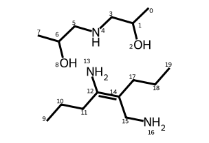 CC(O)CNCC(C)O.CCCC(N)=C(CN)CCC